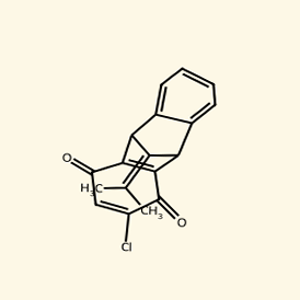 CC(C)=C1C2C3=C(C(=O)C(Cl)=CC3=O)C1c1ccccc12